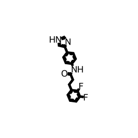 O=C(CCc1cccc(F)c1F)Nc1ccc(-c2c[nH]cn2)cc1